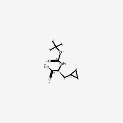 CC(C)(C)OC(=O)N[C@@H](CC1CC1)C(=O)O